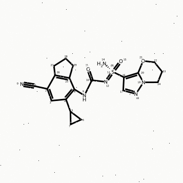 N#Cc1cc(C2CC2)c(NC(=O)N=[S@@](N)(=O)c2cnn3c2OCCC3)c2c1CCC2